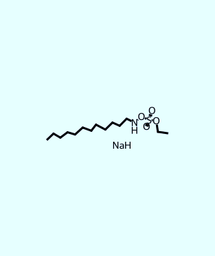 CCCCCCCCCCCCNOS(=O)(=O)OCC.[NaH]